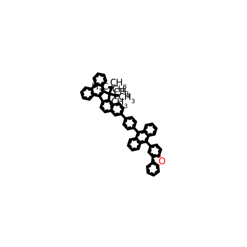 CC(C)(C)C1(C(C)(C)C)c2c(ccc3cc(-c4ccc(-c5c6ccccc6c(-c6ccc7oc8ccccc8c7c6)c6ccccc56)cc4)ccc23)-c2c1c1ccccc1c1ccccc21